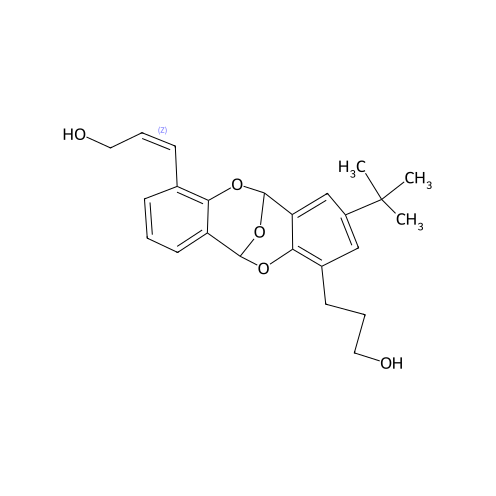 CC(C)(C)c1cc(CCCO)c2c(c1)C1Oc3c(/C=C\CO)cccc3C(O2)O1